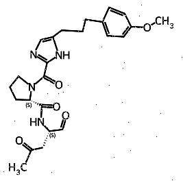 COc1ccc(CCCc2cnc(C(=O)N3CCC[C@H]3C(=O)N[C@H](C=O)CC(C)=O)[nH]2)cc1